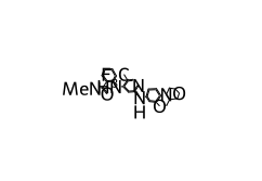 CNC(=O)c1ccccc1Nc1cc(Nc2ccc3c(c2)OCC2COCCN32)ncc1C(F)(F)F